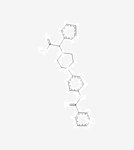 COC(=O)C(c1ccccc1)N1CCN(c2ccc(NC(=O)c3cccnc3)cc2)CC1